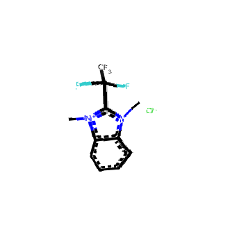 Cn1c(C(F)(F)C(F)(F)F)[n+](C)c2ccccc21.[Cl-]